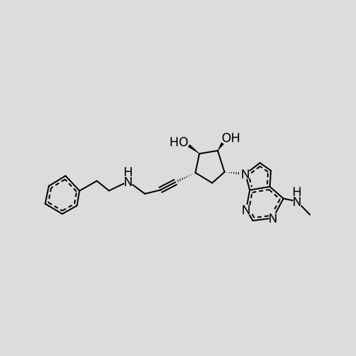 CNc1ncnc2c1ccn2[C@@H]1C[C@H](C#CCNCCc2ccccc2)[C@@H](O)[C@H]1O